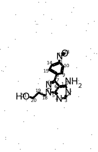 Nc1ncnc2c1c(-c1ccc(N=O)cc1)nn2CCCO